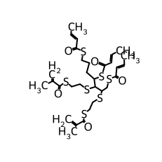 C=C(C)C(=O)SCCSC(CSC(=O)C=CC)C(SCCSC(=O)C(=C)C)C(CCCSC(=O)C=CC)SC(=O)C=CC